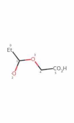 CCC([O])OCC(=O)O